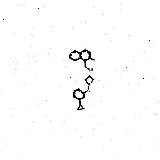 Fc1ccc2cnccc2c1CN[C@H]1C[C@H](Oc2cccc(C3CC3)c2)C1